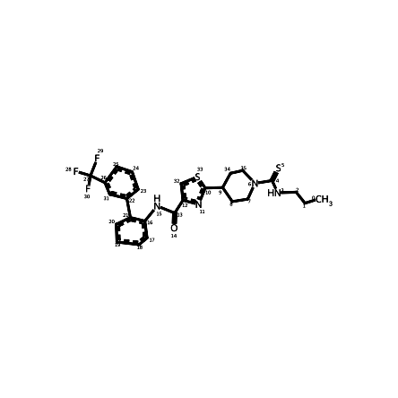 CCCNC(=S)N1CCC(c2nc(C(=O)Nc3ccccc3-c3cccc(C(F)(F)F)c3)cs2)CC1